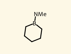 CNB1CCCCC1